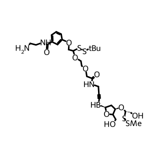 CSS[C@@H](CO)O[C@@H]1C[C@H](BC#CCNC(=O)COCCOC(COc2cccc(C(=O)NCCN)c2)SSC(C)(C)C)OC1CO